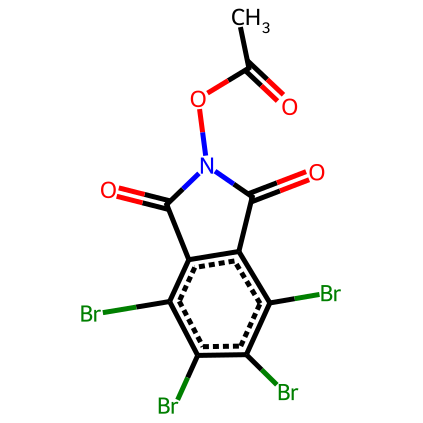 CC(=O)ON1C(=O)c2c(Br)c(Br)c(Br)c(Br)c2C1=O